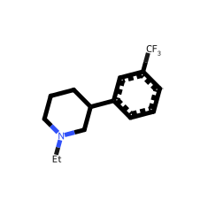 CCN1CCCC(c2cc[c]c(C(F)(F)F)c2)C1